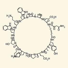 CCCC[C@H]1C(=O)N(C)[C@@H](CCCC)C(=O)N[C@@H](CCC(=O)O)C(=O)N[C@H](C(=O)NCC(N)=O)CSCC(=O)N[C@@H](Cc2ccc(O)cc2)C(=O)N(C)[C@@H](C)C(=O)N[C@@H](CCC(=O)O)C(=O)N2CCC[C@H]2C(=O)N[C@@H](Cc2c[nH]cn2)C(=O)N[C@@H](CCCN)C(=O)N2C[C@H](O)C[C@H]2C(=O)N[C@@H](Cc2c[nH]c3ccccc23)C(=O)N[C@@H](CCCCN)C(=O)N[C@@H](Cc2c[nH]c3ccccc23)C(=O)N1C